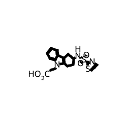 O=C(O)CCn1c2c(c3ccccc31)CC(NS(=O)(=O)c1nccs1)CC2